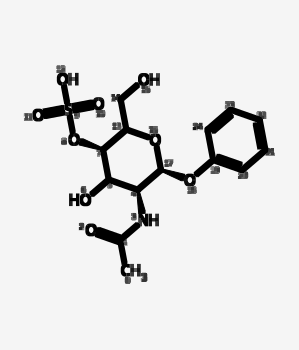 CC(=O)N[C@H]1C(O)[C@@H](OS(=O)(=O)O)C(CO)O[C@H]1Oc1ccccc1